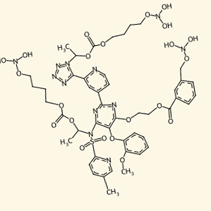 COc1ccccc1Oc1c(OCCOC(=O)c2cccc(CON(O)O)c2)nc(-c2ccnc(-c3nnnn3C(C)OC(=O)OCCCCON(O)O)c2)nc1N(C(C)OC(=O)OCCCCON(O)O)S(=O)(=O)c1ccc(C)cn1